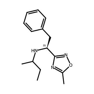 CCC(C)N[C@@H](Cc1ccccc1)c1noc(C)n1